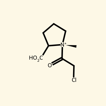 C[N@+]1(C(=O)CCl)CCCC1C(=O)O